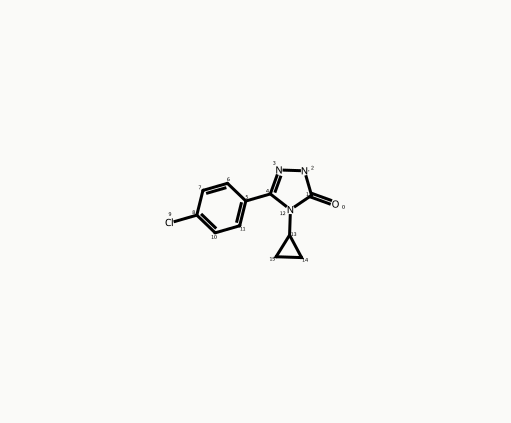 O=C1[N]N=C(c2ccc(Cl)cc2)N1C1CC1